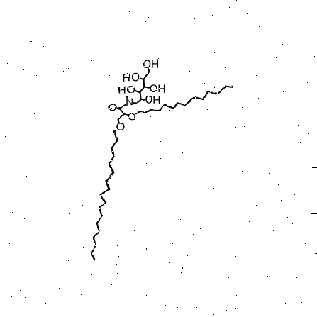 CCCCCCCCCCCCCCCCCCOCC(OCCCCCCCCCCCCCC)C(=O)N(C)CC(O)C(O)C(O)C(O)CO